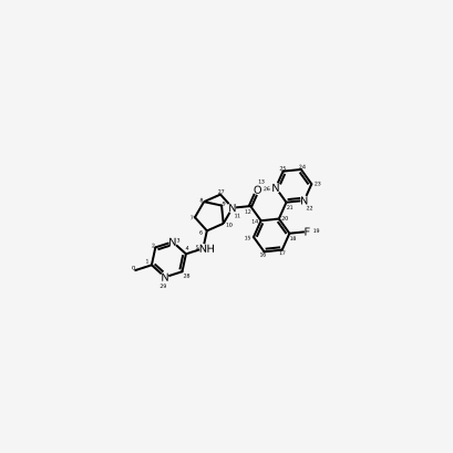 Cc1cnc(NC2CC3CC2N(C(=O)c2cccc(F)c2-c2ncccn2)C3)cn1